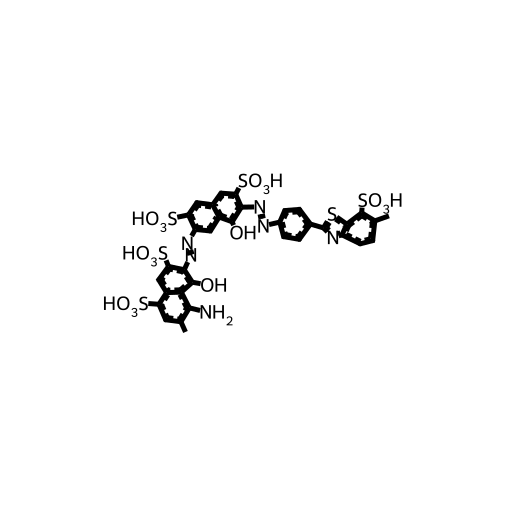 Cc1ccc2nc(-c3ccc(N=Nc4c(S(=O)(=O)O)cc5cc(S(=O)(=O)O)c(N=Nc6c(S(=O)(=O)O)cc7c(S(=O)(=O)O)cc(C)c(N)c7c6O)cc5c4O)cc3)sc2c1S(=O)(=O)O